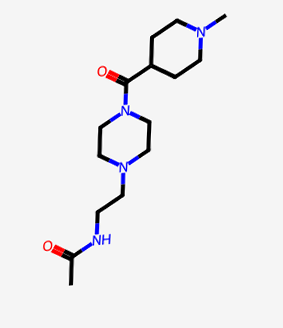 CC(=O)NCCN1CCN(C(=O)C2CCN(C)CC2)CC1